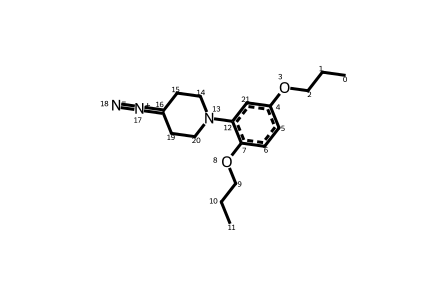 CCCOc1ccc(OCCC)c(N2CCC(=[N+]=[N-])CC2)c1